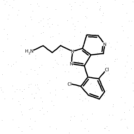 NCCCn1nc(-c2c(Cl)cccc2Cl)c2cnccc21